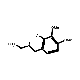 COc1ccc(CNCC(=O)O)c(C(C)=O)c1OC